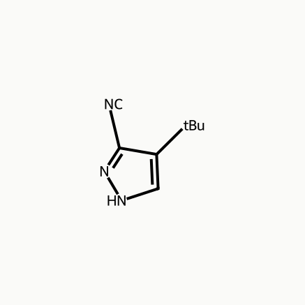 [C-]#[N+]c1n[nH]cc1C(C)(C)C